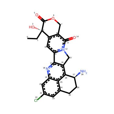 CC[C@@]1(O)C(=O)OCc2c1cc1n(c2=O)Cc2c-1nc1cc(Cl)cc3c1c2[C@@H](N)CC3